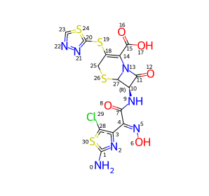 Nc1nc(C(=NO)C(=O)N[C@@H]2C(=O)N3C(C(=O)O)=C(Sc4nncs4)CSC23)c(Cl)s1